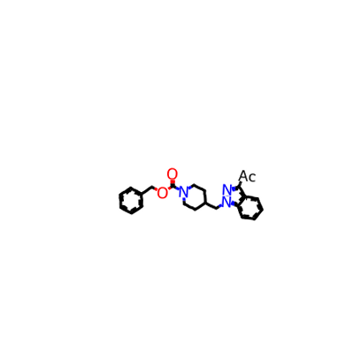 CC(=O)c1nn(CC2CCN(C(=O)OCc3ccccc3)CC2)c2ccccc12